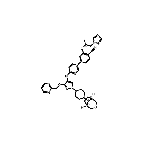 C[C@@H](Cn1cncn1)Oc1cc(-c2cnc(Nc3cn(C4CCC(N5[C@@H]6CC[C@H]5COC6)CC4)nc3OCc3ccccn3)nc2)ccc1C#N